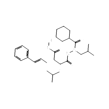 CC(C)C[C@@H](C(=O)NN(CC(C)C)C(=O)C1CCCCC1)[C@H](CC=Cc1ccccc1)C(=O)NO